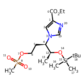 CCOC(=O)c1cn([C@H](CCOS(C)(=O)=O)[C@H](C)O[Si](C)(C)C(C)(C)C)cn1